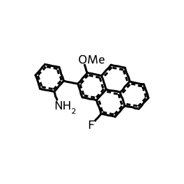 COc1c(-c2ccccc2N)cc2c(F)cc3cccc4ccc1c2c43